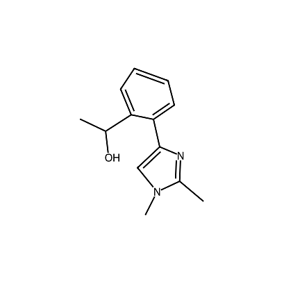 Cc1nc(-c2ccccc2C(C)O)cn1C